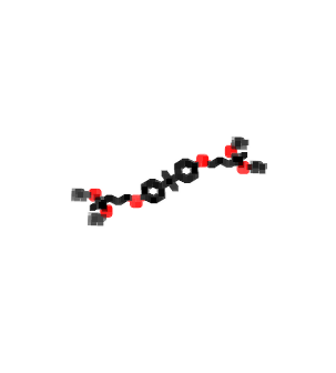 CC(C)O[Si](C)(CCCOc1ccc(C(C)(C)c2ccc(OCCC[Si](C)(OC(C)C)OC(C)C)cc2)cc1)OC(C)C